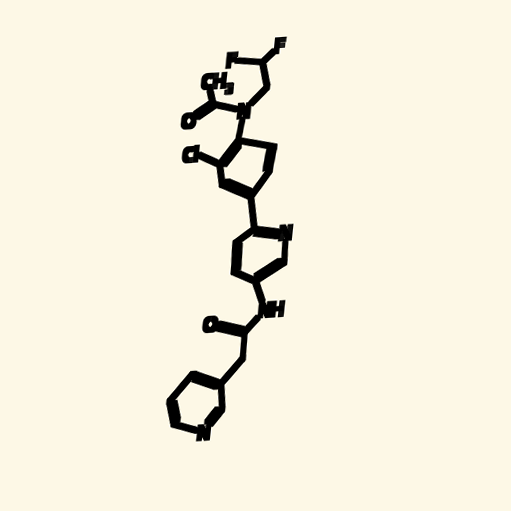 CC(=O)N(CC(F)F)c1ccc(-c2ccc(NC(=O)Cc3cccnc3)cn2)cc1Cl